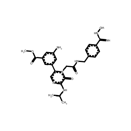 COC(=O)c1cc(N)cc(-c2cnc(NC(C)C)c(=O)n2CC(=O)NCc2ccc(C(=N)NO)cc2)c1